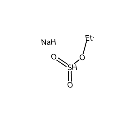 C[CH]O[SH](=O)=O.[NaH]